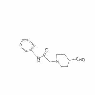 O=CC1CCN(CC(=O)Nc2ccccc2)CC1